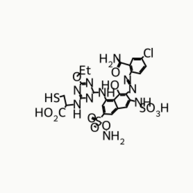 CCOc1nc(Nc2cc(S(=O)(=O)ON)cc3cc(NS(=O)(=O)O)c(N=Nc4ccc(Cl)cc4C(N)=O)c(O)c23)nc(NC(CS)C(=O)O)n1